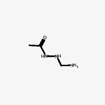 CC(=O)NNCN